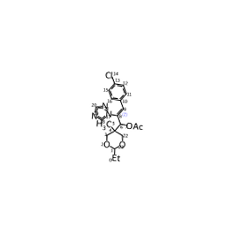 CCC1OCC(C)(C(OC(C)=O)/C(=C/c2ccc(Cl)cc2)n2cncn2)CO1